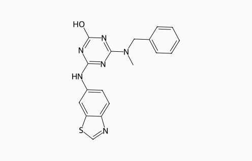 CN(Cc1ccccc1)c1nc(O)nc(Nc2ccc3ncsc3c2)n1